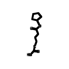 O=C(O)CCCCC(=O)OC1CCCC1